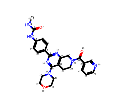 CCNC(=O)Nc1ccc(-c2nc3c(c(N4CCOCC4)n2)CCN(C(=O)c2cccnc2)C3)cc1